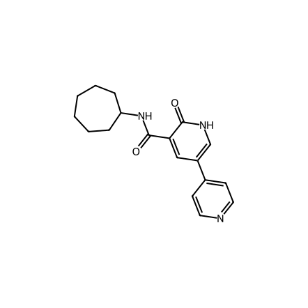 O=C(NC1CCCCCC1)c1cc(-c2ccncc2)c[nH]c1=O